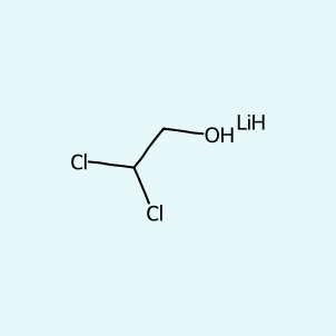 OCC(Cl)Cl.[LiH]